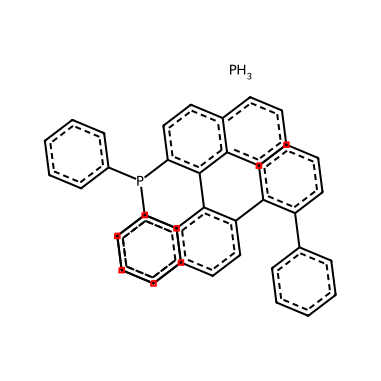 P.c1ccc(-c2ccccc2-c2ccc3ccccc3c2-c2c(P(c3ccccc3)c3ccccc3)ccc3ccccc23)cc1